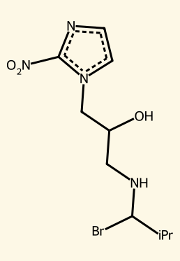 CC(C)C(Br)NCC(O)Cn1ccnc1[N+](=O)[O-]